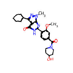 COc1cc(C(=O)N2CCC(O)CC2)ccc1-c1nc2c(c(C3CCCCC3)nn2C)c(=O)[nH]1